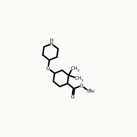 CC(C)(C)OC(=O)C1CCC(OC2CCNCC2)CC1(C)C